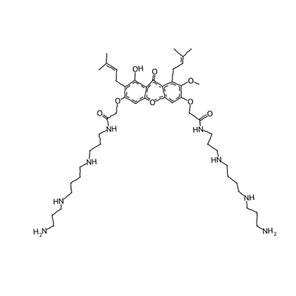 COc1c(OCC(=O)NCCCNCCCCNCCCN)cc2oc3cc(OCC(=O)NCCCNCCCCNCCCN)c(CC=C(C)C)c(O)c3c(=O)c2c1CC=C(C)C